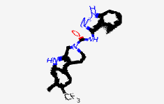 Cc1cc2[nH]c3c(c2cc1C(F)(F)F)CCN(C(=O)Nc1n[nH]c2ccccc12)C3